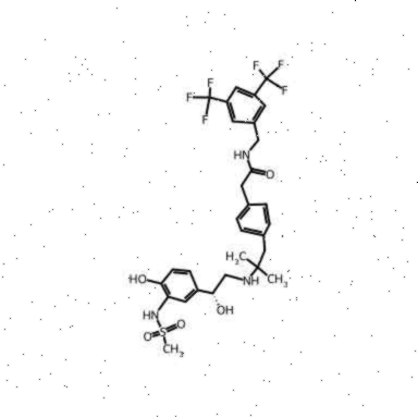 CC(C)(Cc1ccc(CC(=O)NCc2cc(C(F)(F)F)cc(C(F)(F)F)c2)cc1)NC[C@H](O)c1ccc(O)c(NS(C)(=O)=O)c1